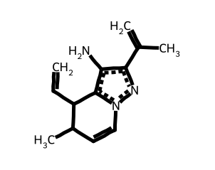 C=CC1c2c(N)c(C(=C)C)nn2C=CC1C